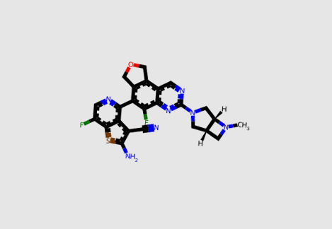 CN1C[C@@H]2CN(c3ncc4c5c(c(-c6ncc(F)c7sc(N)c(C#N)c67)c(F)c4n3)COC5)C[C@@H]21